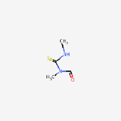 CNC(=S)N(C)C=O